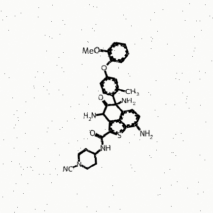 COc1ccccc1Oc1ccc(C2(N)C(=O)C(N)c3c(C(=O)NC4CCN(C#N)CC4)sc4c(N)ccc2c34)c(C)c1